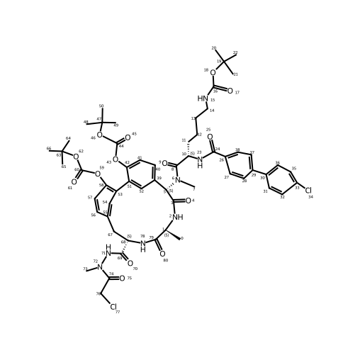 C[C@@H]1NC(=O)[C@@H](N(C)C(=O)[C@H](CCCCNC(=O)OC(C)(C)C)NC(=O)c2ccc(-c3ccc(Cl)cc3)cc2)c2ccc(OC(=O)OC(C)(C)C)c(c2)-c2cc(ccc2OC(=O)OC(C)(C)C)C[C@@H](C(=O)NN(C)C(=O)CCl)NC1=O